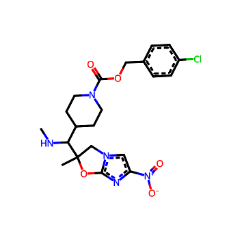 CNC(C1CCN(C(=O)OCc2ccc(Cl)cc2)CC1)C1(C)Cn2cc([N+](=O)[O-])nc2O1